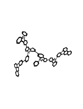 c1ccc(-n2c3ccccc3c3cc(-c4ccc5c(c4)c4ccc(-c6ccc7c8cc(-c9ccc%10c(c9)c9ccccc9n%10-c9ccc%10c(c9)-c9cc%11ccccc%11c%11cccc-%10c9%11)ccc8n(-c8ccccc8)c7c6)cc4n5-c4cccc(-c5ccc6c(c5)-c5cc7ccccc7c7cccc-6c57)c4)ccc32)cc1